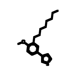 CCCCCCCCc1cc(-c2ccsc2)ccc1OC